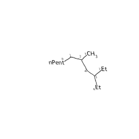 CCCCCCC(C)[CH]C(CC)CC